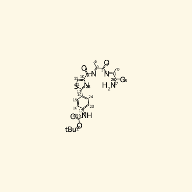 C/C(=N\C(=O)/C(C)=N/C(=O)c1csc(-c2ccc(NC(=O)OC(C)(C)C)cc2)n1)C(N)=O